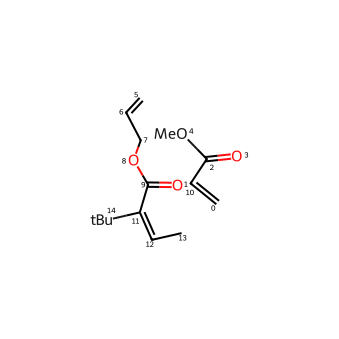 C=CC(=O)OC.C=CCOC(=O)C(=CC)C(C)(C)C